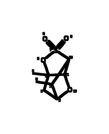 CC1C2CC3(C)OS(=O)(=O)C1C3O2